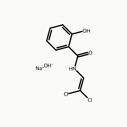 O=C(NC=C(Cl)Cl)c1ccccc1O.[Na+].[OH-]